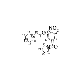 O=C(c1ccc([N+](=O)[O-])c(OCCN2CCOCC2)c1)N1CCCC1